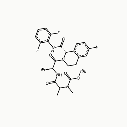 CC(C)[C@H](NC(=O)C(C)N(C)C(=O)OC(C)(C)C)C(=O)N1CCc2cc(F)ccc2[C@H]1C(=O)Nc1c(F)cccc1F